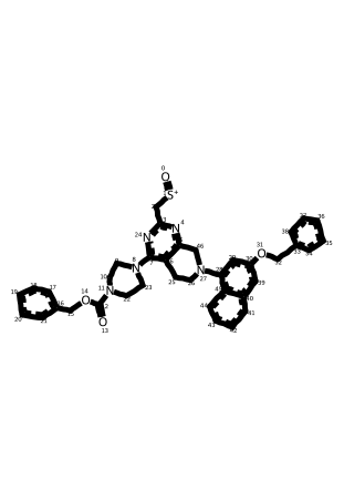 O=[S+]Cc1nc2c(c(N3CCN(C(=O)OCc4ccccc4)CC3)n1)CCN(c1cc(OCc3ccccc3)cc3ccccc13)C2